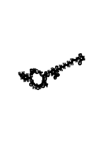 C=CCC1C(=O)C(C)(C)C(O)CC(=O)OC(c2ccc3sc(C)nc3c2)CC2OC2(C)CCCC(C)C1OC(=O)OCc1ccc(OC(=O)CCCCCCCCCCN2C(=O)C=CC2=O)c([N+](=O)[O-])c1